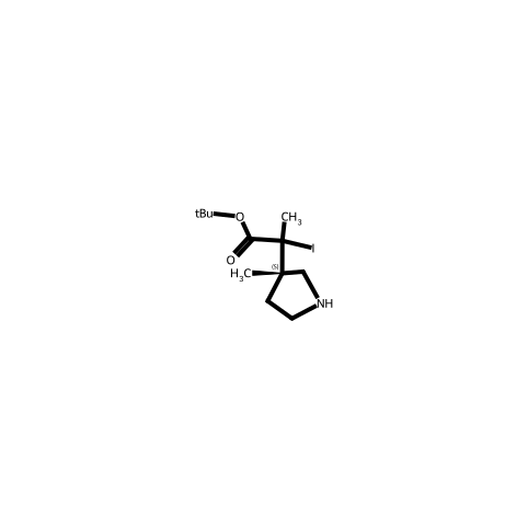 CC(C)(C)OC(=O)C(C)(I)[C@@]1(C)CCNC1